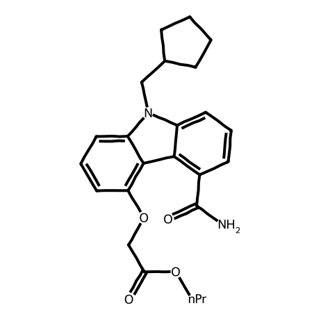 CCCOC(=O)COc1cccc2c1c1c(C(N)=O)cccc1n2CC1CCCC1